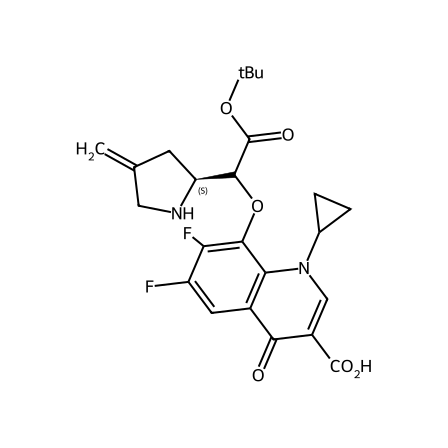 C=C1CN[C@H](C(Oc2c(F)c(F)cc3c(=O)c(C(=O)O)cn(C4CC4)c23)C(=O)OC(C)(C)C)C1